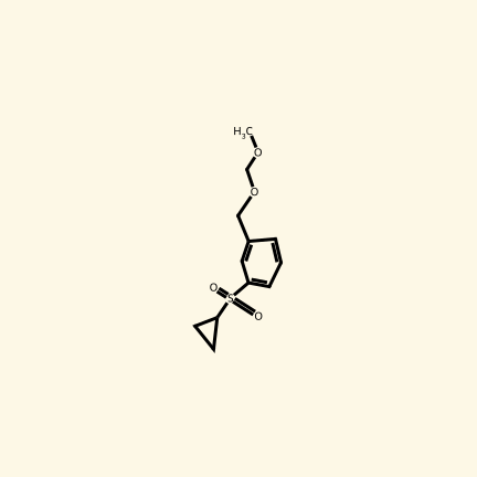 COCOCc1cccc(S(=O)(=O)C2CC2)c1